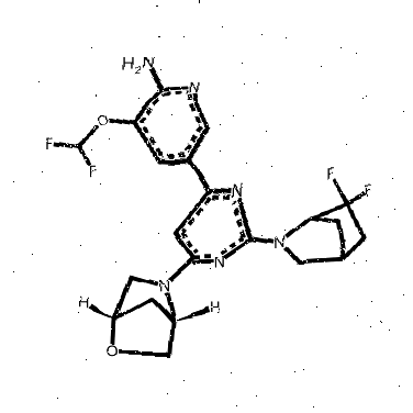 Nc1ncc(-c2cc(N3C[C@@H]4C[C@H]3CO4)nc(N3CC4CC3C(F)(F)C4)n2)cc1OC(F)F